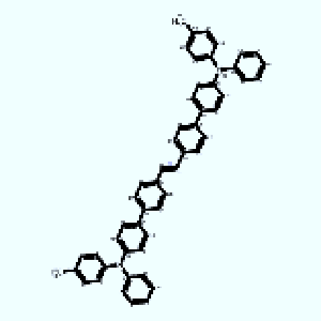 Cc1ccc(N(c2ccccc2)c2ccc(-c3ccc(/C=C/c4ccc(-c5ccc(N(c6ccccc6)c6ccc(C)cc6)cc5)cc4)cc3)cc2)cc1